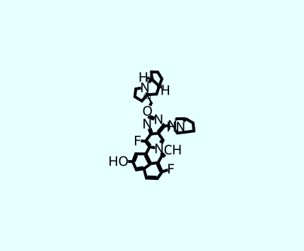 C#Cc1c(F)ccc2cc(O)cc(-c3ncc4c(N5CC6CCC(C5)N6)nc(OC[C@@]56CCCN5[C@@H]5CCC[C@@H]5C6)nc4c3F)c12